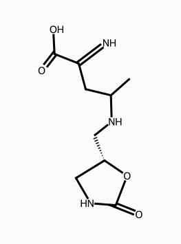 CC(CC(=N)C(=O)O)NC[C@H]1CNC(=O)O1